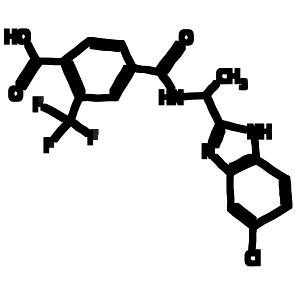 CC(NC(=O)c1ccc(C(=O)O)c(C(F)(F)F)c1)c1nc2cc(Cl)ccc2[nH]1